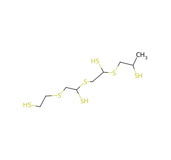 CC(S)CSC(S)CSC(S)CSCCS